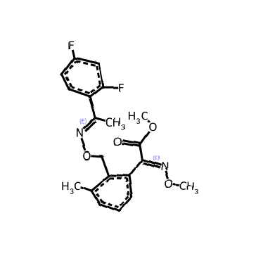 CO/N=C(/C(=O)OC)c1cccc(C)c1CO/N=C(\C)c1ccc(F)cc1F